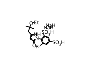 CCOC(C)(C)Cc1cc(=O)n(-c2c(Br)cc(S(=O)(=O)O)cc2S(=O)(=O)O)[nH]1.[NaH].[NaH]